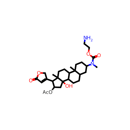 CC(=O)OC1CC2(O)C3CCC4CC(N(C)C(=O)OCCN)CCC4(C)C3CCC2(C)C1C1=CC(=O)OC1